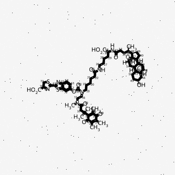 CC1=C(C)C(=O)C(C(C)(C)CC(=O)N(C)CCN(CCCCCC(=O)NCCCCC(NC(=O)CC[C@@H](C)[C@H]2CC[C@H]3[C@@H]4CC[C@@H]5C[C@H](O)CC[C@]5(C)[C@H]4C[C@@H]4O[C@@]423)C(=O)O)C(=O)Oc2ccc3nc(C4=NC(C(=O)O)CS4)sc3c2)=C(C)C1=O